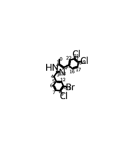 Cc1[nH]c(Cc2ccc(Cl)c(Br)c2)nc1-c1ccc(Cl)c(Cl)c1